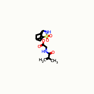 C=C(C)C(=O)NCC(=O)OC1C2CC3C1NS(=O)(=O)C3C2